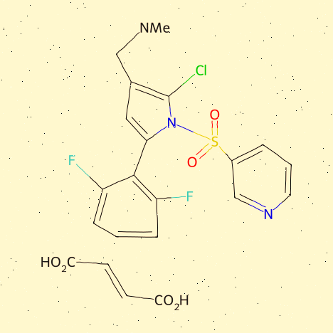 CNCc1cc(-c2c(F)cccc2F)n(S(=O)(=O)c2cccnc2)c1Cl.O=C(O)C=CC(=O)O